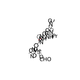 C=CC(=O)N1CCC2(CCN([C@H](C(=O)N[C@@H](Cc3nc(-c4ccc5c(c4)c(CC(C)(C)COC=O)c(-c4cccnc4[C@H](C)OC)n5C)cs3)C(=O)N3CCCCN3)C(C)C)C2=O)C1